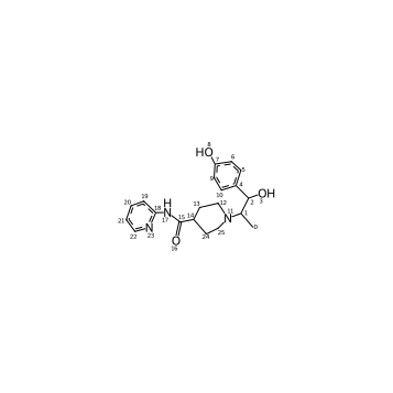 CC(C(O)c1ccc(O)cc1)N1CCC(C(=O)Nc2ccccn2)CC1